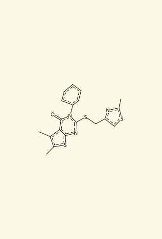 Cc1nc(CSc2nc3sc(C)c(C)c3c(=O)n2-c2ccccc2)cs1